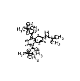 CC(C)Nc1ccc2c(c1)N(C(=O)OC(C)(C)C)CCN2C(=O)OC(C)(C)C